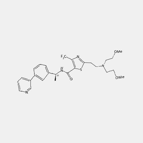 COCCN(CCOC)CCc1nc(C(F)(F)F)c(C(=O)N[C@@H](C)c2cccc(-c3cccnc3)c2)s1